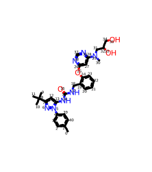 Cc1ccc(-n2nc(C(C)(C)C)cc2NC(=O)NCc2ccccc2Oc2cc(N(C)CC(O)CO)ncn2)cc1